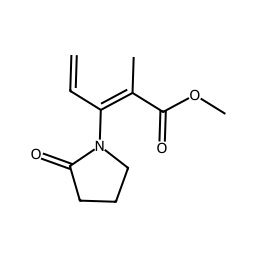 C=CC(=C(C)C(=O)OC)N1CCCC1=O